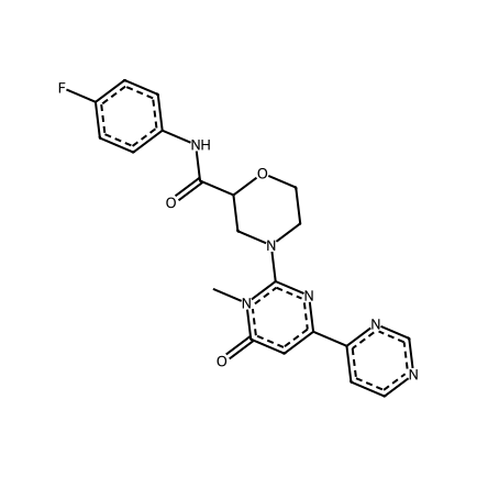 Cn1c(N2CCOC(C(=O)Nc3ccc(F)cc3)C2)nc(-c2ccncn2)cc1=O